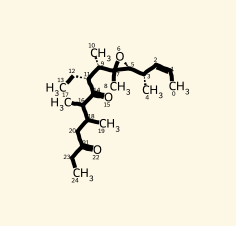 C/C=C\[C@H](C)[C@H]1OC1(C)[C@@H](C)[C@@H](CC)C(=O)C(C)C(C)CC(=O)CC